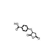 O=C1CC(Sc2ccc(C(=O)O)cc2)C(=O)O1